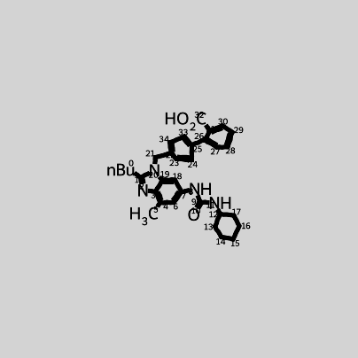 CCCCc1nc2c(C)cc(NC(=O)NC3CCCCC3)cc2n1Cc1ccc(-c2ccccc2C(=O)O)cc1